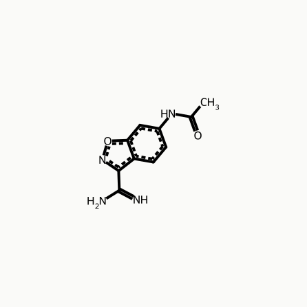 CC(=O)Nc1ccc2c(C(=N)N)noc2c1